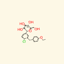 CCOc1ccc(Cc2cc(C3O[C@H](CO)[C@@H](O)[C@H](O)[C@H]3O)ccc2Cl)cc1